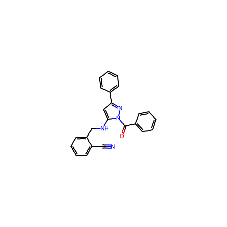 N#Cc1ccccc1CNc1cc(-c2ccccc2)nn1C(=O)c1ccccc1